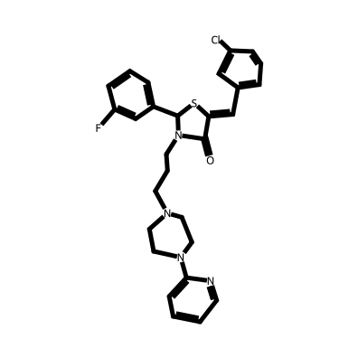 O=C1C(=Cc2cccc(Cl)c2)SC(c2cccc(F)c2)N1CCCN1CCN(c2ccccn2)CC1